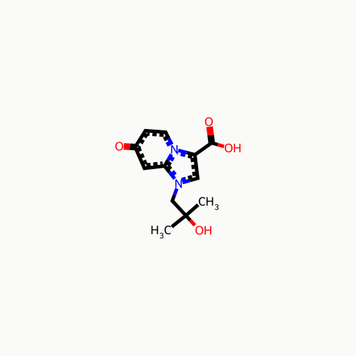 CC(C)(O)Cn1cc(C(=O)O)n2ccc(=O)cc12